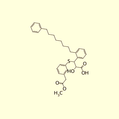 COC(=O)Cc1cccc(SC(c2ccccc2CCCCCCCCc2ccccc2)C(O)C(=O)O)c1